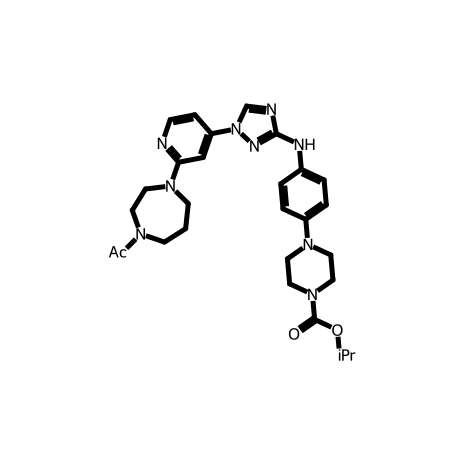 CC(=O)N1CCCN(c2cc(-n3cnc(Nc4ccc(N5CCN(C(=O)OC(C)C)CC5)cc4)n3)ccn2)CC1